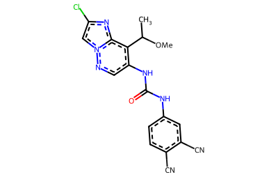 COC(C)c1c(NC(=O)Nc2ccc(C#N)c(C#N)c2)cnn2cc(Cl)nc12